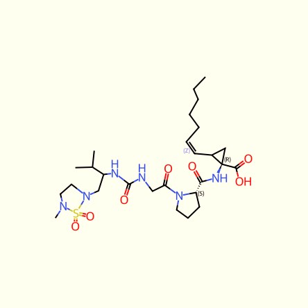 CCCCC/C=C\C1C[C@]1(NC(=O)[C@@H]1CCCN1C(=O)CNC(=O)NC(CN1CCN(C)S1(=O)=O)C(C)C)C(=O)O